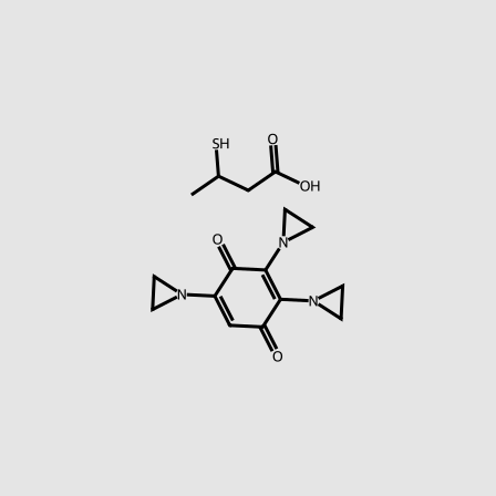 CC(S)CC(=O)O.O=C1C=C(N2CC2)C(=O)C(N2CC2)=C1N1CC1